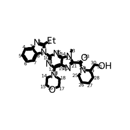 CCc1nc2ccccc2n1-c1nc(N2CCOCC2)c2nc(C(=O)N3CCCCC3CO)n(C)c2n1